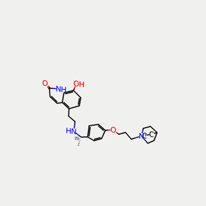 C[C@H](NCCc1ccc(O)c2[nH]c(=O)ccc12)c1ccc(OCCC[N+]23CCC(CC2)CC3)cc1